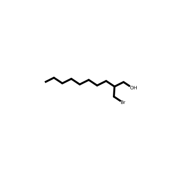 CCCCCCCCC(CO)CBr